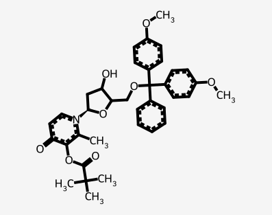 COc1ccc(C(OCC2O[C@@H](n3ccc(=O)c(OC(=O)C(C)(C)C)c3C)CC2O)(c2ccccc2)c2ccc(OC)cc2)cc1